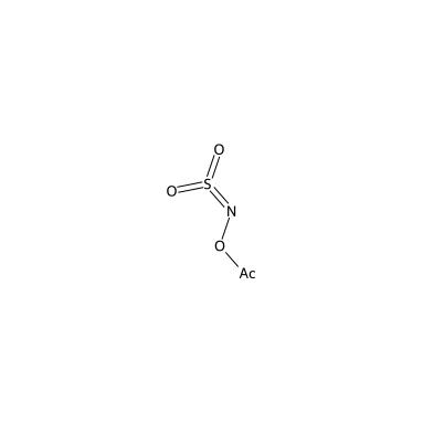 CC(=O)ON=S(=O)=O